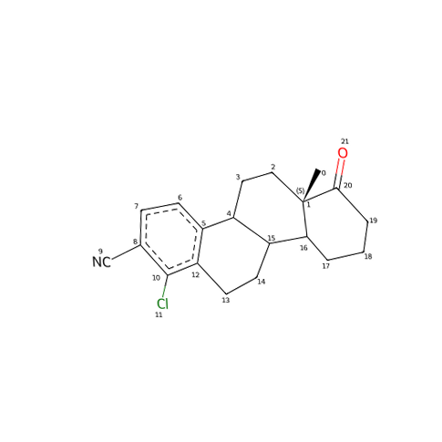 C[C@]12CCC3c4ccc(C#N)c(Cl)c4CCC3C1CCCC2=O